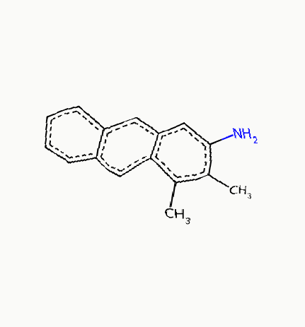 Cc1c(N)cc2cc3ccccc3cc2c1C